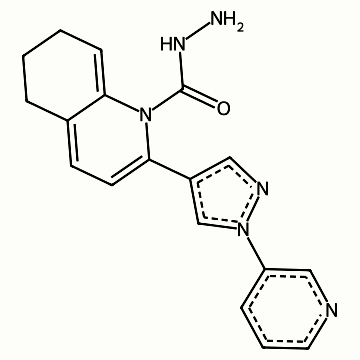 NNC(=O)N1C2=CCCCC2=CC=C1c1cnn(-c2cccnc2)c1